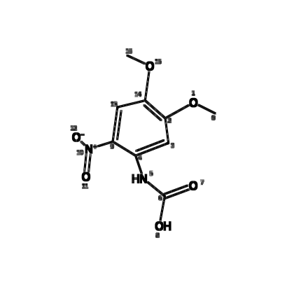 COc1cc(NC(=O)O)c([N+](=O)[O-])cc1OC